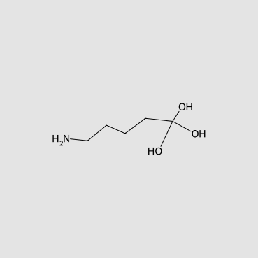 NCCCCC(O)(O)O